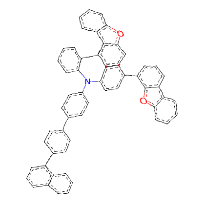 c1ccc(N(c2ccc(-c3ccc(-c4cccc5ccccc45)cc3)cc2)c2ccc(-c3cccc4c3oc3ccccc34)cc2)c(-c2cccc3oc4ccccc4c23)c1